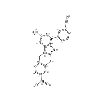 N#Cc1cccc(-c2nc(N)nc3c2ncn3Cc2ccc([N+](=O)[O-])cc2F)c1